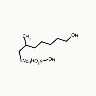 CCCCCCCCCCC(C)CCCCCO.O=S(=O)(O)O